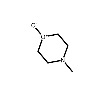 CN1CC[O+]([O-])CC1